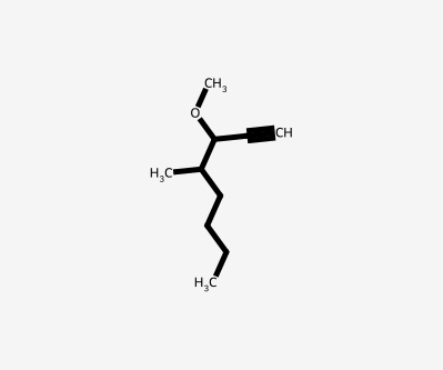 C#CC(OC)C(C)CCCC